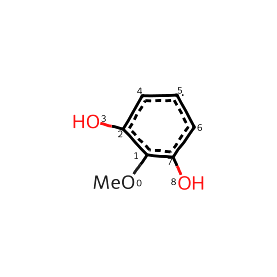 COc1c(O)c[c]cc1O